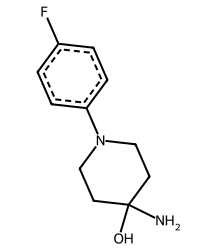 NC1(O)CCN(c2ccc(F)cc2)CC1